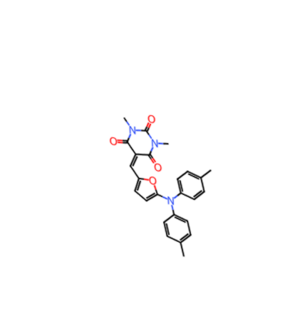 Cc1ccc(N(c2ccc(C)cc2)c2ccc(C=C3C(=O)N(C)C(=O)N(C)C3=O)o2)cc1